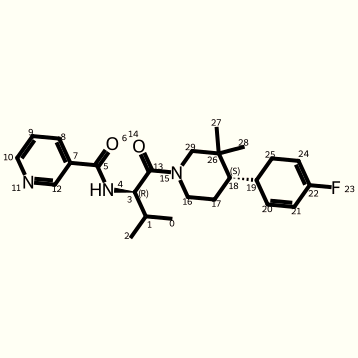 CC(C)[C@@H](NC(=O)c1cccnc1)C(=O)N1CC[C@@H](C2C=CC(F)=CC2)C(C)(C)C1